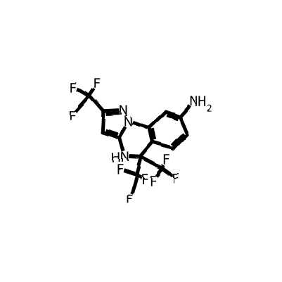 Nc1ccc2c(c1)-n1nc(C(F)(F)F)cc1NC2(C(F)(F)F)C(F)(F)F